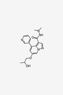 CC(O)COc1cc(-c2cccnc2)c2c(C(=O)NN(C)C)cnn2c1